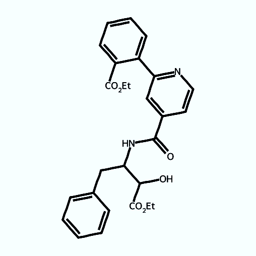 CCOC(=O)c1ccccc1-c1cc(C(=O)NC(Cc2ccccc2)C(O)C(=O)OCC)ccn1